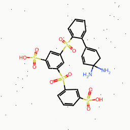 NC1(N)C=CC(c2ccccc2S(=O)(=O)c2cc(S(=O)(=O)O)cc(S(=O)(=O)c3cccc(S(=O)(=O)O)c3)c2)=CC1